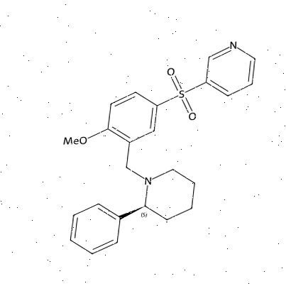 COc1ccc(S(=O)(=O)c2cccnc2)cc1CN1CCC[CH][C@H]1c1ccccc1